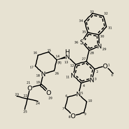 COc1nc(N2CCOCC2)nc(N[C@@H]2CCCN(C(=O)OC(C)(C)C)C2)c1-c1nc2ccccc2s1